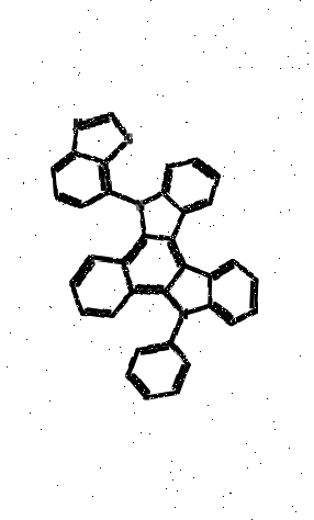 c1ccc(-n2c3ccccc3c3c4c5ccccc5n(-c5cccc6ncsc56)c4c4ccccc4c32)cc1